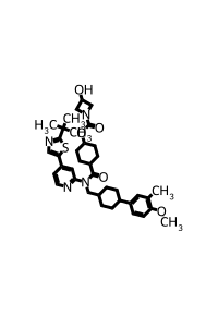 COc1ccc(C2CCC(CN(C(=O)C3CCC(OC(=O)N4CC(O)C4)CC3)c3cc(-c4cnc(C(C)(C)C)s4)ccn3)CC2)cc1C